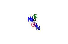 C=C1CCCCN1C1CCN(C(=O)/C=C/c2ccc(C(F)(F)F)cc2Cn2nnc(C)n2)CC1